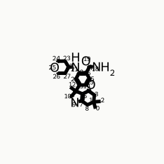 CC1(C)CC(=O)C2=C(C1)N=CC2(C)c1ccc(C(N)=O)c(NC2CCOCC2)c1